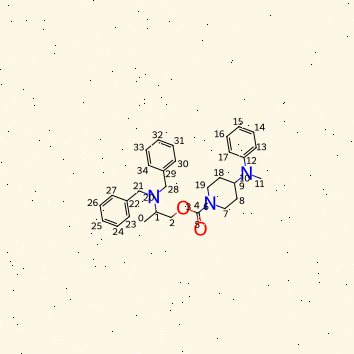 CC(COC(=O)N1CCC(N(C)c2ccccc2)CC1)N(Cc1ccccc1)Cc1ccccc1